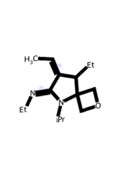 C/C=C1\C(=N\CC)N(C(C)C)C2(COC2)C1CC